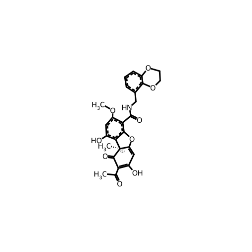 COc1cc(O)c2c(c1C(=O)NCc1cccc3c1OCCO3)OC1=CC(O)=C(C(C)=O)C(=O)[C@]12C